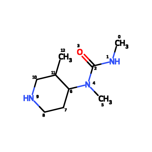 CNC(=O)N(C)C1CCNCC1C